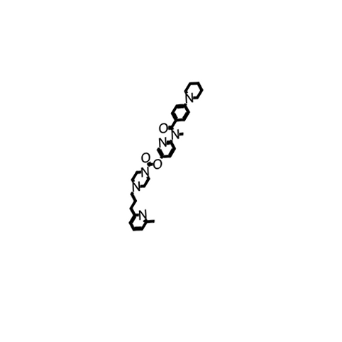 Cc1cccc(CCCN2CCN(C(=O)Oc3ccc(N(C)C(=O)c4ccc(N5CCCCC5)cc4)nc3)CC2)n1